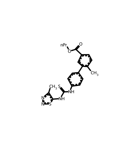 CCCOC(=O)c1ccc(C)c(-c2ccc(NC(=S)Nc3snnc3C)cc2)c1